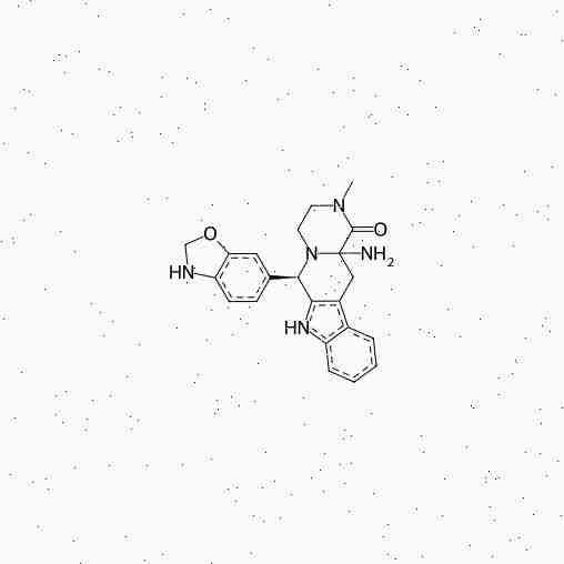 CN1CCN2[C@H](c3ccc4c(c3)OCN4)c3[nH]c4ccccc4c3CC2(N)C1=O